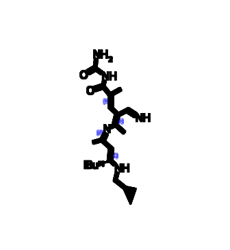 CC[C@@H](C)\C(=C/C(C)=N\C(C)=C(C=N)/C=C(\C)C(=O)NC(N)=O)NCC1CC1